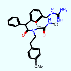 CCNC(=O)[C@@H](CCCNC(=N)N)N(CCc1ccc(OC)cc1)C(=O)C(c1ccccc1)c1ccccc1